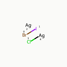 BrI.[Ag].[Cl][Ag]